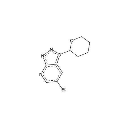 CCc1cnc2nnn(C3CCCCO3)c2c1